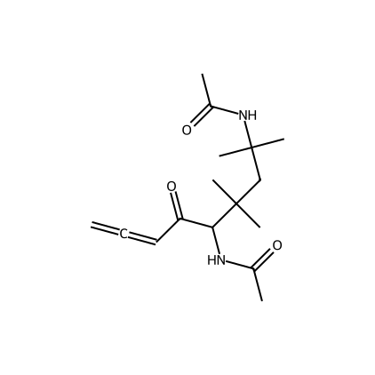 C=C=CC(=O)C(NC(C)=O)C(C)(C)CC(C)(C)NC(C)=O